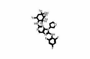 [2H]C1CC([2H])(O)C([2H])([2H])C([2H])([2H])C1Nc1ncc2nc(Nc3c(F)cc(F)cc3F)n(C3CCOC3)c2n1